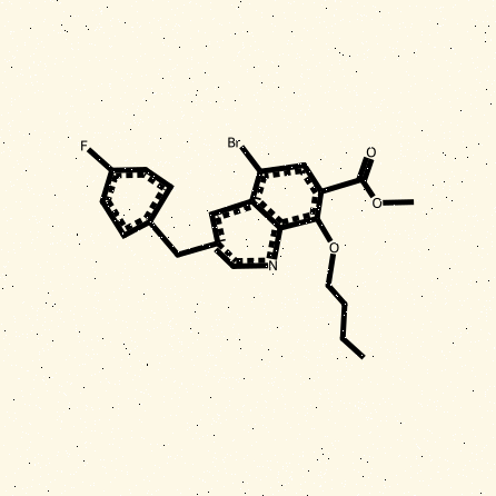 CCCCOc1c(C(=O)OC)cc(Br)c2cc(Cc3ccc(F)cc3)cnc12